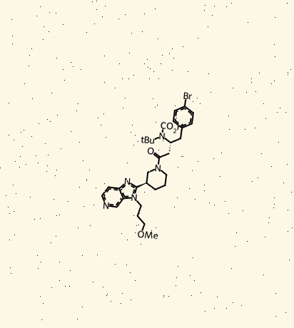 COCCCn1c([C@@H]2CCCN(C(=O)C[C@@H](Cc3ccc(Br)cc3)N(C(=O)O)C(C)(C)C)C2)nc2ccncc21